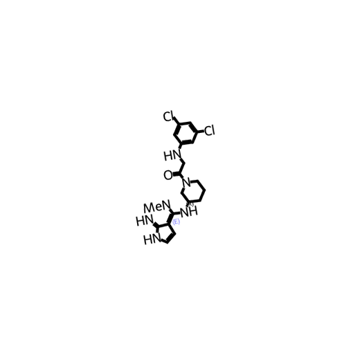 CN/C(N[C@@H]1CCCN(C(=O)CNc2cc(Cl)cc(Cl)c2)C1)=C1/C=CNC1=N